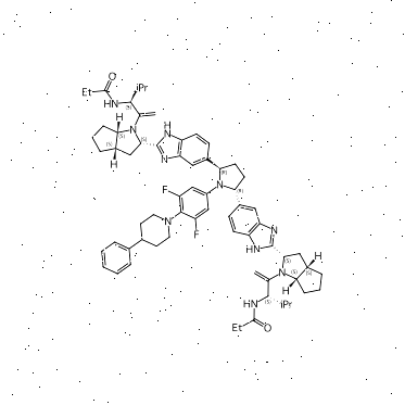 C=C([C@@H](NC(=O)CC)C(C)C)N1[C@H](c2nc3cc([C@H]4CC[C@H](c5ccc6[nH]c([C@@H]7C[C@@H]8CCC[C@@H]8N7C(=C)[C@@H](NC(=O)CC)C(C)C)nc6c5)N4c4cc(F)c(N5CCC(c6ccccc6)CC5)c(F)c4)ccc3[nH]2)C[C@@H]2CCC[C@@H]21